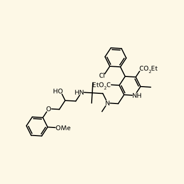 CCOC(=O)C1=C(C)NC(CN(C)CC(C)(C)NCC(O)COc2ccccc2OC)=C(C(=O)OCC)C1c1ccccc1Cl